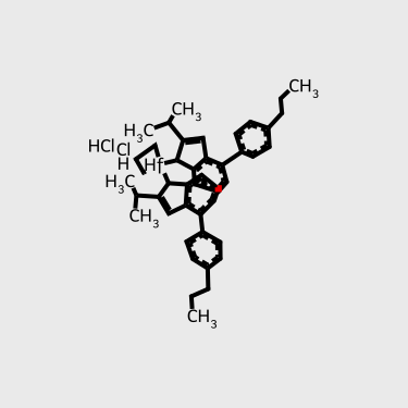 CCCc1ccc(-c2cccc3c2C=C(C(C)C)[CH]3[Hf]2([CH]3C(C(C)C)=Cc4c(-c5ccc(CCC)cc5)cccc43)[CH2]C[CH2]2)cc1.Cl.Cl